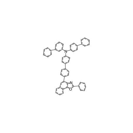 c1ccc(-c2ccc(N(c3ccc(-c4ccc(-c5cc6ccccc6c6oc(-c7ccccc7)nc56)cc4)cc3)c3cccc(-c4ccccc4)c3)cc2)cc1